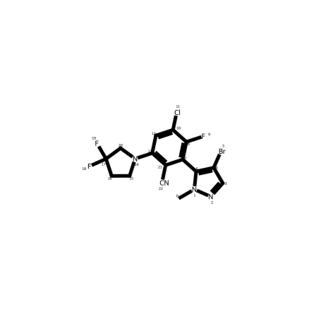 Cn1ncc(Br)c1-c1c(F)c(Cl)cc(N2CCC(F)(F)C2)c1C#N